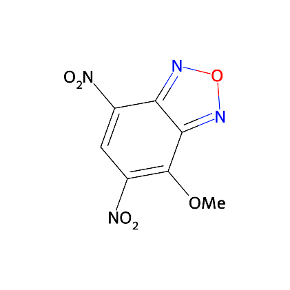 COc1c([N+](=O)[O-])cc([N+](=O)[O-])c2nonc12